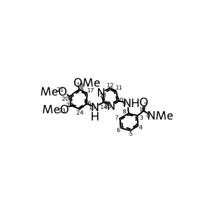 CNC(=O)c1ccccc1Nc1ccnc(Nc2cc(OC)c(OC)c(OC)c2)n1